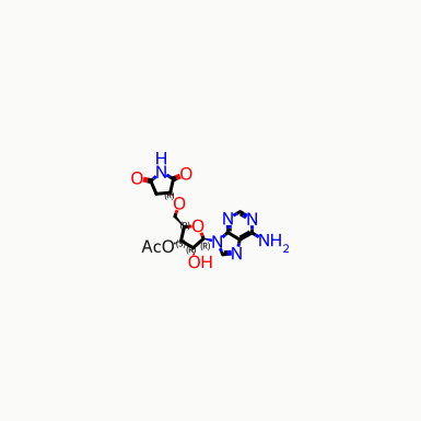 CC(=O)O[C@H]1[C@@H](O)[C@H](n2cnc3c(N)ncnc32)O[C@@H]1CO[C@@H]1CC(=O)NC1=O